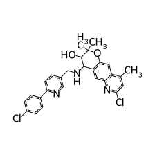 Cc1cc(Cl)nc2cc3c(cc12)OC(C)(C)C(O)C3NCc1ccc(-c2ccc(Cl)cc2)nc1